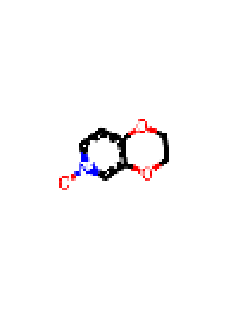 [O-][n+]1[c]cc2c(c1)OCCO2